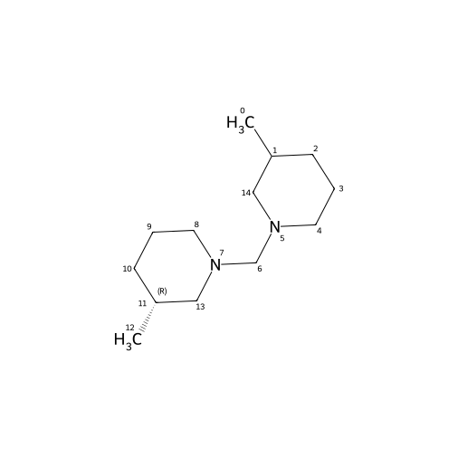 CC1CCCN(CN2CCC[C@@H](C)C2)C1